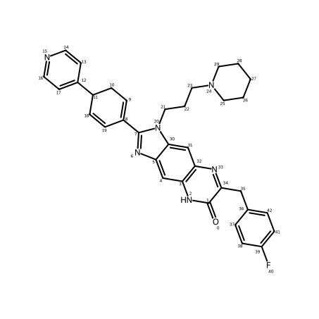 O=c1[nH]c2cc3nc(C4=CCC(c5ccncc5)C=C4)n(CCCN4CCCCC4)c3cc2nc1Cc1ccc(F)cc1